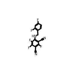 N#Cc1c(F)c(F)c(NCc2ccc(F)cc2F)c(C#N)c1F